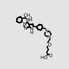 CC(Nc1ncnc2[nH]c(-c3ccc(CN4CCN(CCOCCCC(=O)O)CC4)cc3)cc12)c1ccccc1